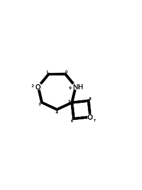 C1COCCC2(COC2)N1